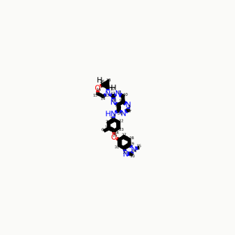 Cc1cc(Nc2ncnc3cnc(N4CCO[C@H]5C[C@H]54)nc23)ccc1Oc1ccc2c(c1)ncn2C